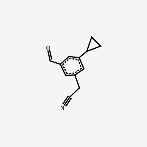 N#CCc1cc(C=O)cc(C2CC2)c1